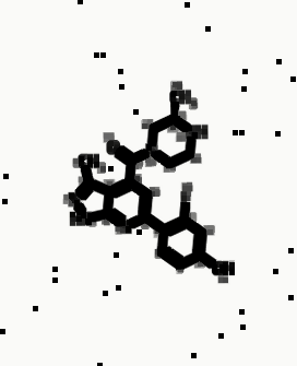 Cc1n[nH]c2nc(-c3ccc(O)cc3F)cc(C(=O)N3CCN[C@H](C)C3)c12